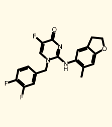 Cc1cc2c(cc1Nc1nc(=O)c(F)cn1Cc1ccc(F)c(F)c1)CCO2